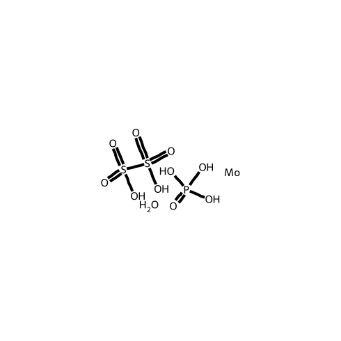 O.O=P(O)(O)O.O=S(=O)(O)S(=O)(=O)O.[Mo]